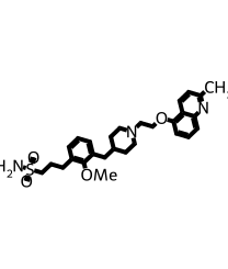 COc1c(CCCS(N)(=O)=O)cccc1CC1CCN(CCOc2cccc3nc(C)ccc23)CC1